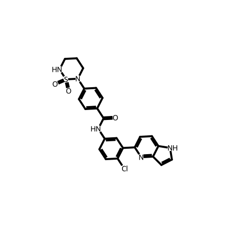 O=C(Nc1ccc(Cl)c(-c2ccc3[nH]ccc3n2)c1)c1ccc(N2CCCNS2(=O)=O)cc1